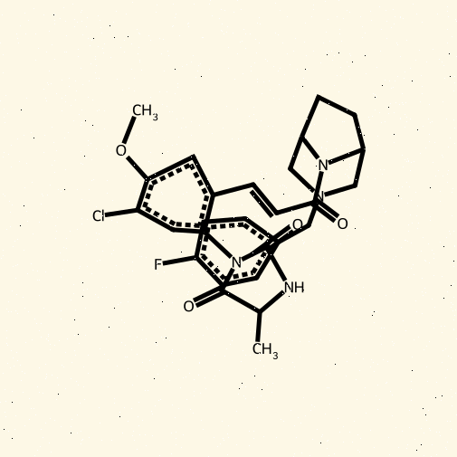 COc1cc(/C=C/C(=O)N2C3CCC2CN(Cc2ccc(F)cc2)C3)c(N2C(=O)NC(C)C2=O)cc1Cl